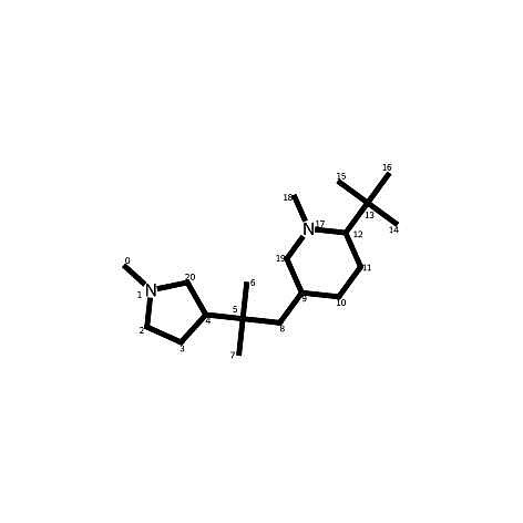 CN1CCC(C(C)(C)CC2CCC(C(C)(C)C)N(C)C2)C1